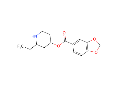 O=C(OC1CCNC(CC(F)(F)F)C1)c1ccc2c(c1)OCO2